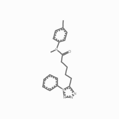 Cc1ccc(N(C)C(=O)CCCCc2nnnn2-c2ccccc2)cc1